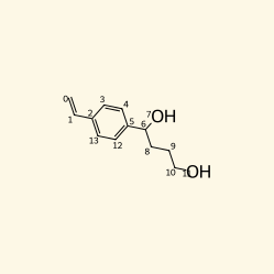 C=Cc1ccc(C(O)CCCO)cc1